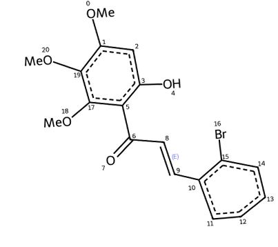 COc1cc(O)c(C(=O)/C=C/c2ccccc2Br)c(OC)c1OC